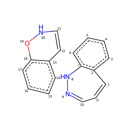 C1=Cc2ccccc2NN=C1.C1=Cc2ccccc2ON1